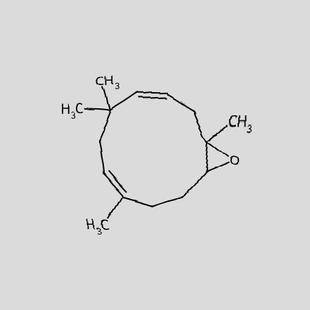 CC1=CCC(C)(C)C=CCC2(C)OC2CC1